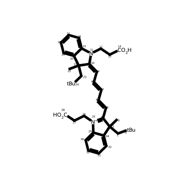 CC(C)(C)CC1(C)C(/C=C/C=C/C=C2/N(CCC(=O)O)c3ccccc3C2(C)CC(C)(C)C)=[N+](CCC(=O)O)c2ccccc21